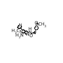 CC(=O)N1CCC([C@H]2C[C@@H]2C(=O)Nc2cc3cc(-c4cnccc4C)nc(N)c3cn2)CC1